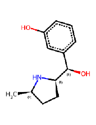 C[C@@H]1CC[C@H]([C@H](O)c2cccc(O)c2)N1